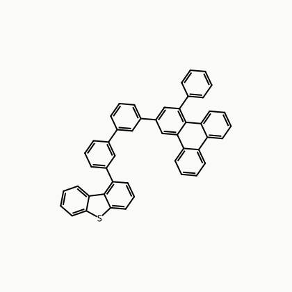 c1ccc(-c2cc(-c3cccc(-c4cccc(-c5cccc6sc7ccccc7c56)c4)c3)cc3c4ccccc4c4ccccc4c23)cc1